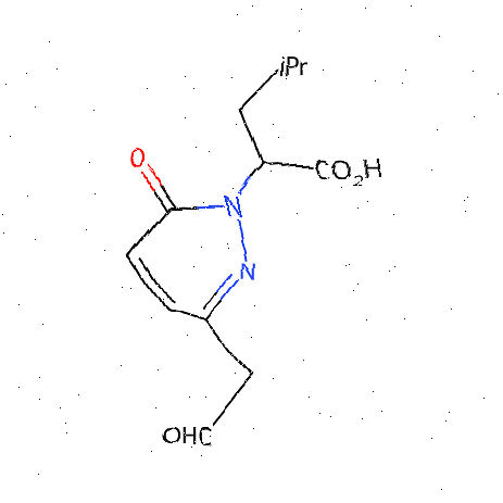 CC(C)CC(C(=O)O)n1nc(CC=O)ccc1=O